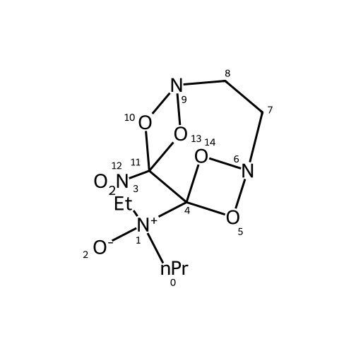 CCC[N+]([O-])(CC)C12ON(CCN3OC1([N+](=O)[O-])O3)O2